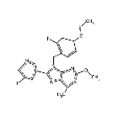 COc1nc(C)c2nc(-c3cncc(F)c3)n(CC3=C(F)CC(OSC)C=C3)c2n1